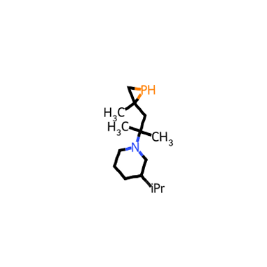 CC(C)C1CCCN(C(C)(C)CC2(C)CP2)C1